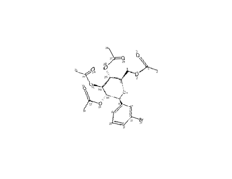 CC(=O)OC[C@H]1O[C@@H](c2cccc(Br)c2)[C@H](OC(C)=O)[C@@H](OC(C)=O)[C@@H]1OC(C)=O